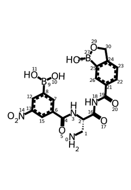 NC[C@H](NC(=O)c1cc(B(O)O)cc([N+](=O)[O-])c1)C(=O)NC(=O)c1ccc2c(c1)B(O)OC2